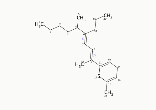 CCCCC(C)/C(=C/C=C(\C)C1=CCC=C(C)S1)CCC